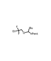 CCCCCC(OCC(F)(F)CC)C(C)CC